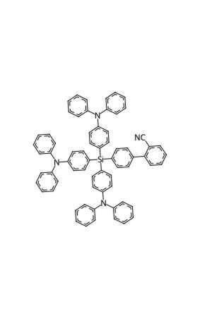 N#Cc1ccccc1-c1ccc([Si](c2ccc(N(c3ccccc3)c3ccccc3)cc2)(c2ccc(N(c3ccccc3)c3ccccc3)cc2)c2ccc(N(c3ccccc3)c3ccccc3)cc2)cc1